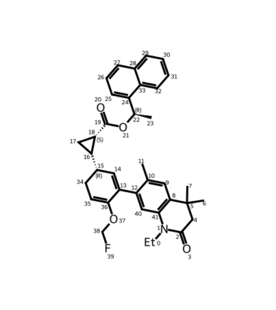 CCN1C(=O)CC(C)(C)c2cc(C)c(C3=C[C@@H](C4C[C@@H]4C(=O)O[C@H](C)c4cccc5ccccc45)CC=C3OCF)cc21